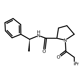 CC(C)CC(=O)N1CCCC1C(=O)N[C@@H](C)c1ccccc1